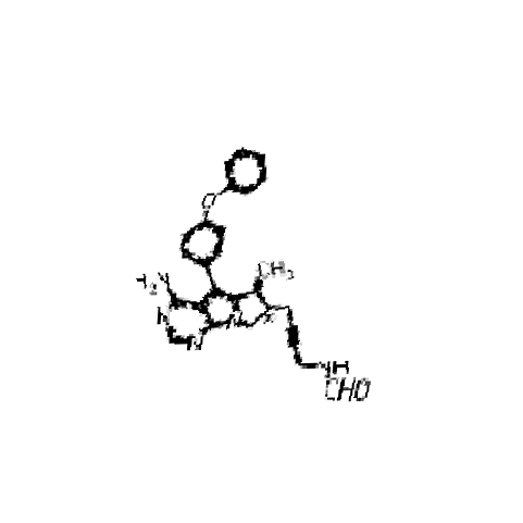 C=C1c2c(-c3ccc(Oc4ccccc4)cc3)c3c(N)ncnc3n2C[C@@H]1CC#CCNC=O